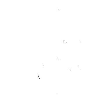 N#Cc1cc2[nH]c(-c3cnn4ccc(N5CCC[C@@H]5c5cc(F)ccc5F)nc34)nc2cc1F